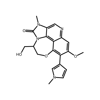 COc1cc2ncc3c4c2c(c1-c1ccn(C)c1)OCC(CO)n4c(=O)n3C